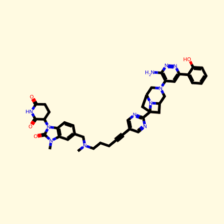 CN(CCCC#Cc1cnc(C23CC4CN(c5cc(-c6ccccc6O)nnc5N)CC(C2)N43)nc1)Cc1ccc2c(c1)n(C)c(=O)n2C1CCC(=O)NC1=O